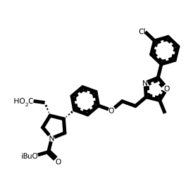 Cc1oc(-c2cccc(Cl)c2)nc1CCOc1cccc([C@@H]2CN(C(=O)OCC(C)C)C[C@@H]2CC(=O)O)c1